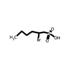 CCCCC(Br)CS(=O)(=O)O